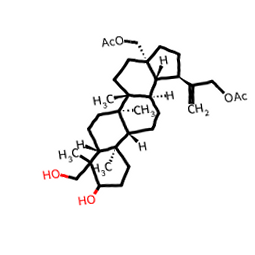 C=C(COC(C)=O)[C@@H]1CC[C@]2(COC(C)=O)CC[C@]3(C)[C@H](CC[C@@H]4[C@@]5(C)CCC(O)C(C)(CO)[C@@H]5CC[C@]43C)[C@@H]12